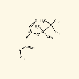 COC(=O)C[C@@H](C=O)O[Si](C)(C)C(C)(C)C